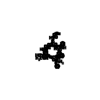 C[C@@H](O)C1NC(=O)[C@H](CCCCNC(=O)OC(C)(C)C)NC(=O)[C@@H](Cc2c[nH]c3ccccc23)NC(=O)[C@H](Cc2ccccc2)NC(=O)[C@@H](NC(=O)[C@H](N)Cc2ccccc2)CSSC[C@@H](C(=O)N[C@H](CO)[C@@H](C)O)NC1=O